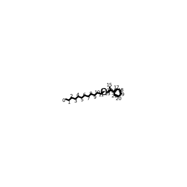 CCCCCCCCCCCCOC=C(C)c1ccccc1